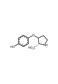 O=C(O)[C@H]1NCCC1Oc1ccc(O)cc1